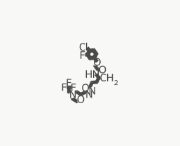 C=C(CCc1nnc(C2CN(CC(F)(F)F)CCO2)o1)NC(=O)COc1ccc(Cl)c(F)c1